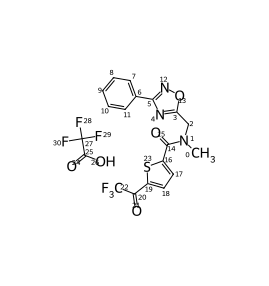 CN(Cc1nc(-c2ccccc2)no1)C(=O)c1ccc(C(=O)C(F)(F)F)s1.O=C(O)C(F)(F)F